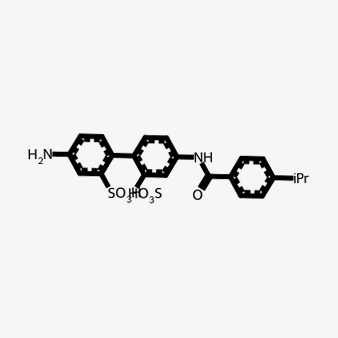 CC(C)c1ccc(C(=O)Nc2ccc(-c3ccc(N)cc3S(=O)(=O)O)c(S(=O)(=O)O)c2)cc1